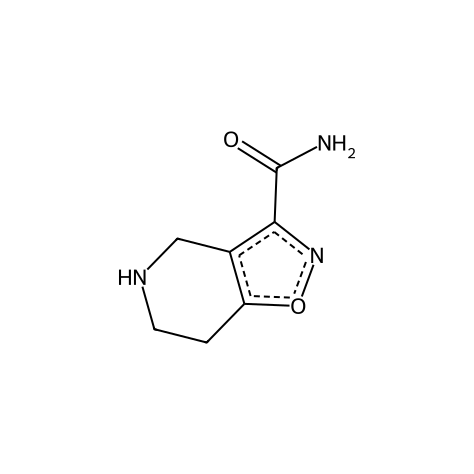 NC(=O)c1noc2c1CNCC2